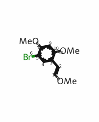 COC=Cc1cc(Br)c(OC)cc1OC